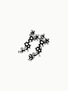 C=C1C(=CC=C2CCC[C@]3(C)C([C@H](C)OCC(=O)O)=CCC23)C[C@@H](O[Si](C)(C)C(C)(C)C)C[C@@H]1O[Si](C)(C)C(C)(C)C.C=C1C(=CC=C2CCC[C@]3(C)C([C@H](C)OCC(=O)OC(CC)(CC)C(C)C)=CC[C@@H]23)C[C@@H](O[Si](C)(C)C(C)(C)C)C[C@@H]1O[Si](C)(C)C(C)(C)C